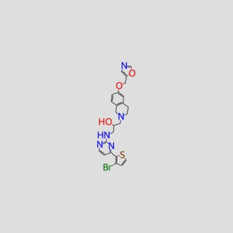 OC(CNc1nccc(-c2sccc2Br)n1)CN1CCc2cc(OCc3cnco3)ccc2C1